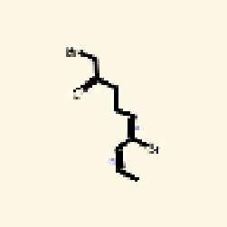 C/C=C\C(Br)=C/CCC(=O)CBr